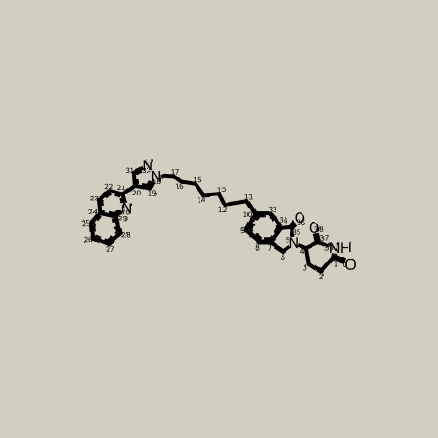 O=C1CCC(N2Cc3ccc(CCCCCCCn4cc(-c5ccc6ccccc6n5)cn4)cc3C2=O)C(=O)N1